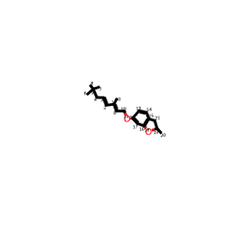 CC(/C=C/CC(C)(C)C)=C\COc1ccc2c(c1)OC(C)C2